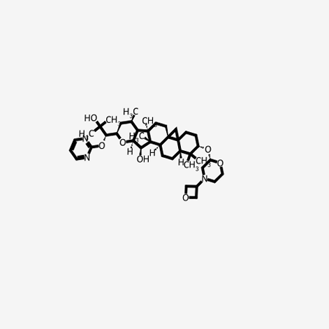 C[C@@H]1C[C@H]([C@H](Oc2ncccn2)C(C)(C)O)O[C@H]2C1[C@@]1(C)CC[C@@]34CC35CC[C@H](O[C@H]3CN(C6COC6)CCO3)C(C)(C)[C@@H]5CC[C@H]4[C@]1(C)[C@H]2O